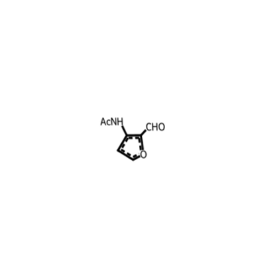 CC(=O)Nc1ccoc1C=O